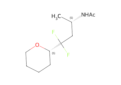 CC(=O)N[C@@H](C)CC(F)(F)[C@@H]1CCCCO1